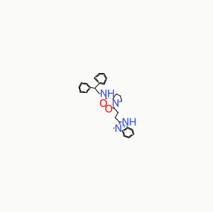 O=C(NCC(c1ccccc1)c1ccccc1)[C@@H]1CCCN1C(=O)CCC1=[N+]c2ccccc2N1